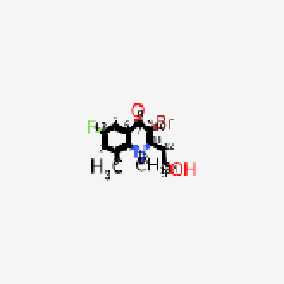 Cc1cc(F)cc2c(=O)c(Br)c(CCO)n(C)c12